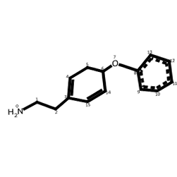 NCCC1=CCC(Oc2ccccc2)C=C1